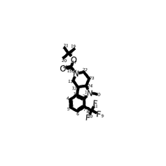 CN1c2c(cccc2C(F)(F)F)C2CN(C(=O)OC(C)(C)C)CCC21